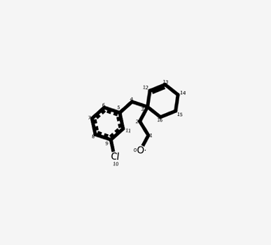 [O]CCC1(Cc2cccc(Cl)c2)C=CCCC1